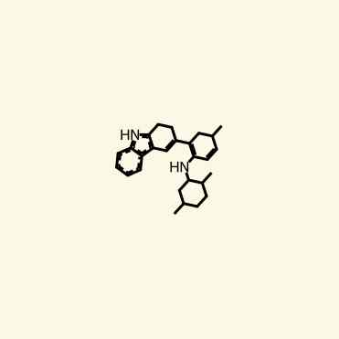 CC1C=CC(NC2CC(C)CCC2C)=C(C2=Cc3c([nH]c4ccccc34)CC2)C1